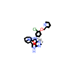 C=CC(=O)N1CC2CCC1CC(c1c[nH]c3ncnc(Nc4ccc(OCc5ccccn5)c(Cl)c4)c13)C2